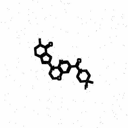 CC1CCC2=C(CC(N3CCOc4cc(C(=O)N5CCC(C)(F)CC5)cnc43)=C2)C1=O